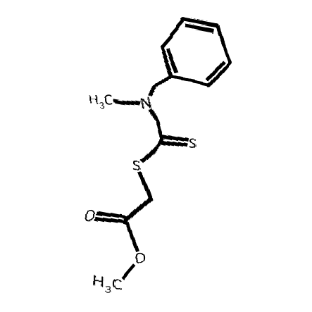 COC(=O)CSC(=S)N(C)c1ccccc1